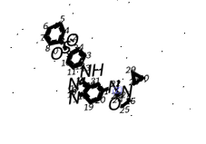 O=S(=O)(c1ccccc1)c1ccc(Nc2ncnc3ccc(/N=C4\OCCN4C4CC4)cc23)cc1